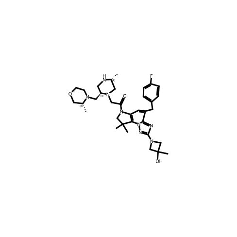 C[C@@H]1CN(CC(=O)N2CC(C)(C)c3c2cc(Cc2ccc(F)cc2)c2nc(N4CC(C)(O)C4)nn32)[C@@H](CN2CCOC[C@H]2C)CN1